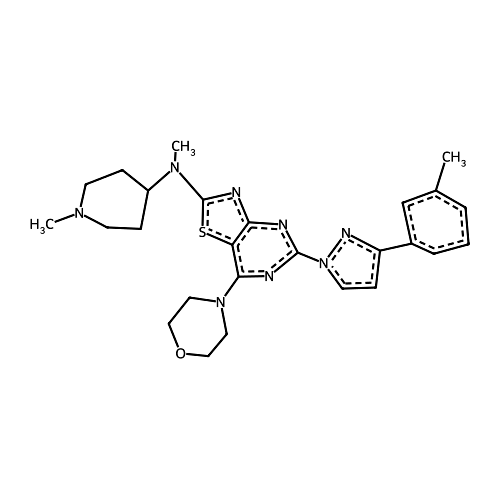 Cc1cccc(-c2ccn(-c3nc(N4CCOCC4)c4sc(N(C)C5CCN(C)CC5)nc4n3)n2)c1